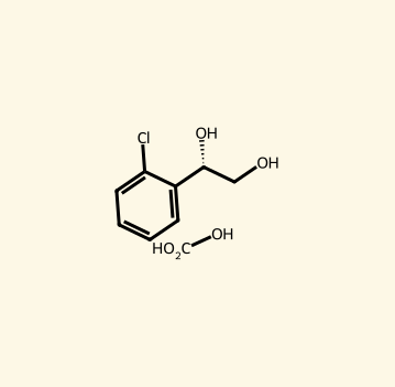 O=C(O)O.OC[C@@H](O)c1ccccc1Cl